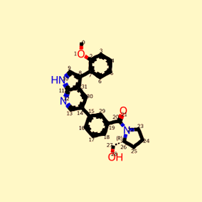 COc1ccccc1-c1c[nH]c2ncc(-c3cccc(C(=O)N4CCC[C@@H]4CO)c3)cc12